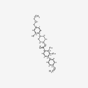 CCOCc1ccc(C2CCC(OC(=O)c3ccc(-c4ccc(OC)cc4)c(F)c3F)CC2)c(F)c1